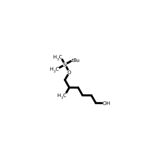 CC(CCCCO)CO[Si](C)(C)C(C)(C)C